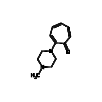 CN1CCN(c2cccccc2=O)CC1